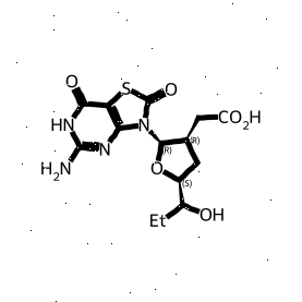 CCC(O)[C@@H]1C[C@H](CC(=O)O)[C@H](n2c(=O)sc3c(=O)[nH]c(N)nc32)O1